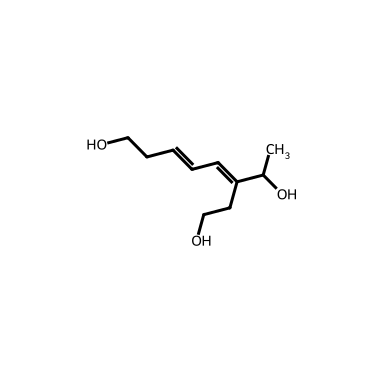 CC(O)C(=CC=CCCO)CCO